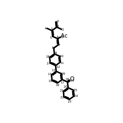 C=C(C)C(C)=CC(=CCc1ccc(-c2cccc(C(=O)c3ccccc3)c2)cc1)C(C)=O